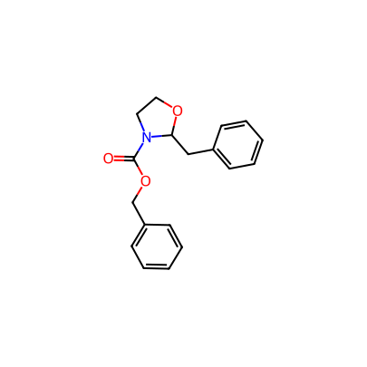 O=C(OCc1ccccc1)N1CCOC1Cc1ccccc1